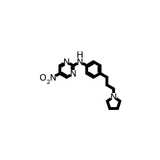 O=[N+]([O-])c1cnc(Nc2ccc(CCCN3CCCC3)cc2)nc1